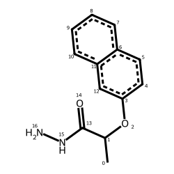 CC(Oc1ccc2ccccc2c1)C(=O)NN